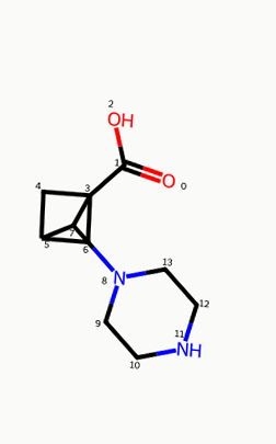 O=C(O)C12CC(C1)C2N1CCNCC1